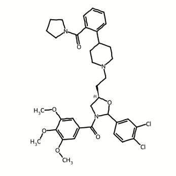 COc1cc(C(=O)N2C[C@@H](CCN3CCC(c4ccccc4C(=O)N4CCCC4)CC3)OC2c2ccc(Cl)c(Cl)c2)cc(OC)c1OC